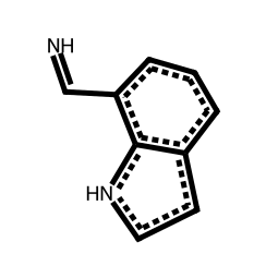 N=Cc1cccc2cc[nH]c12